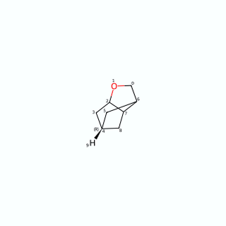 C1OC2C[C@@H]3CC1C2C3